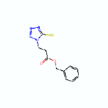 O=C(CCn1nnnc1S)OCc1ccccc1